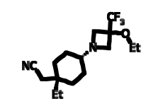 CCOC1(C(F)(F)F)CN([C@H]2CC[C@@](CC)(CC#N)CC2)C1